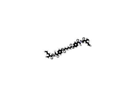 CCCCC(CC)C(=O)O/N=C(\C)C(=O)c1ccc(OC(=O)CCCCC(=O)Oc2ccc(C(=O)/C(C)=N/OC(=O)C(CC)CCCC)cc2)cc1